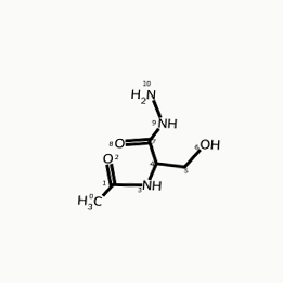 CC(=O)NC(CO)C(=O)NN